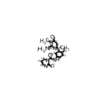 CN1C(=O)C[C@@](C)(c2cc(NC(=O)N3CC=CN=C3Cl)ccc2F)N=C1N